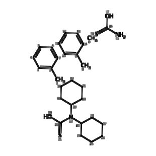 C.Cc1ccccc1.Cc1ccccc1.NC(O)=S.OC(=S)N(C1CCCCC1)C1CCCCC1